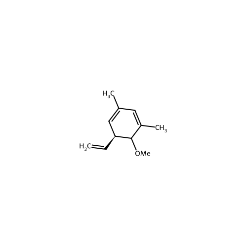 C=C[C@H]1C=C(C)C=C(C)C1OC